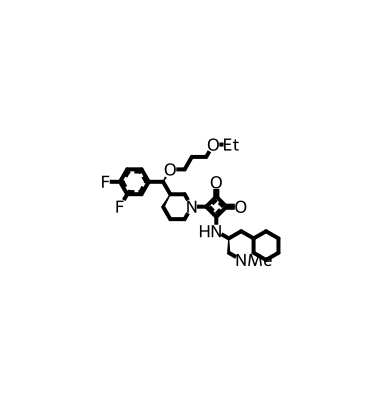 CCOCCCO[C@@H](c1ccc(F)c(F)c1)[C@@H]1CCCN(c2c(N[C@H](CNC)CC3CCCCC3)c(=O)c2=O)C1